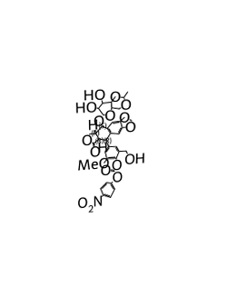 COc1cc([C@@H]2c3cc4c(cc3[C@@H](OC3OC5COC(C)OC5C(O)C3O)[C@H]3COC(=O)[C@H]23)OCO4)cc(CO)c1OC(=O)Oc1ccc([N+](=O)[O-])cc1